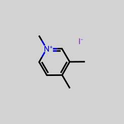 Cc1cc[n+](C)cc1C.[I-]